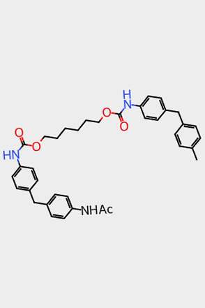 CC(=O)Nc1ccc(Cc2ccc(NC(=O)OCCCCCCOC(=O)Nc3ccc(Cc4ccc(C)cc4)cc3)cc2)cc1